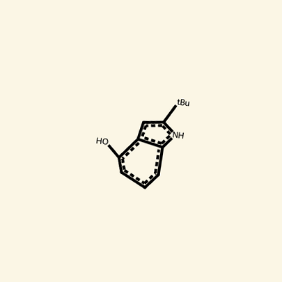 CC(C)(C)c1cc2c(O)cccc2[nH]1